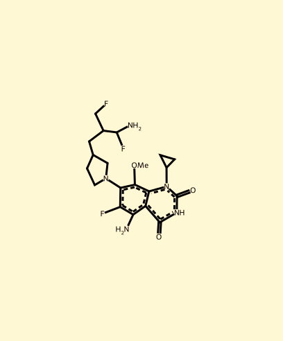 COc1c(N2CCC(CC(CF)C(N)F)C2)c(F)c(N)c2c(=O)[nH]c(=O)n(C3CC3)c12